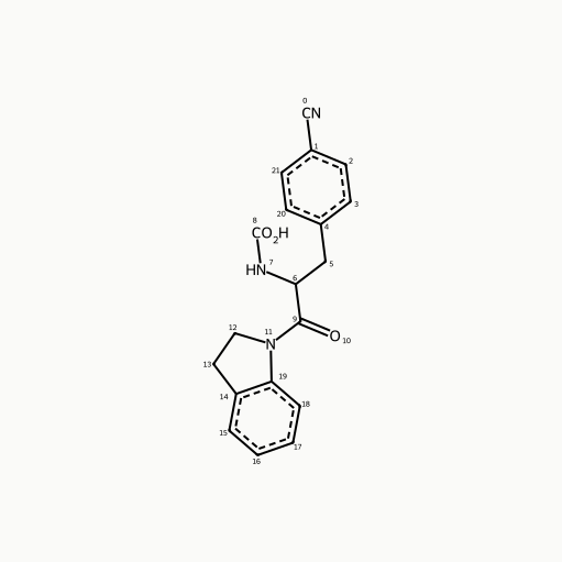 N#Cc1ccc(CC(NC(=O)O)C(=O)N2CCc3ccccc32)cc1